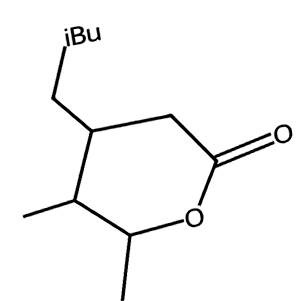 CCC(C)CC1CC(=O)OC(C)C1C